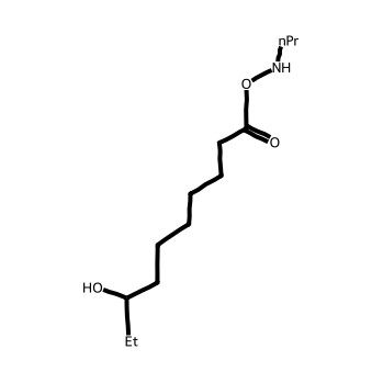 CCCNOC(=O)CCCCCCC(O)CC